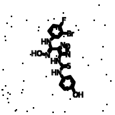 O/N=C(\Nc1ccc(F)c(Br)c1)c1nonc1NC(=S)Nc1ccc(O)cc1